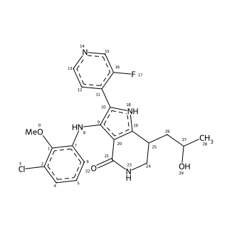 COc1c(Cl)cccc1Nc1c(-c2ccncc2F)[nH]c2c1C(=O)NCC2CC(C)O